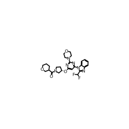 O=C(C1CCCOC1)N1CC[C@H](Oc2cc(-n3c(C(F)F)nc4ccccc43)nc(N3CCOCC3)n2)C1